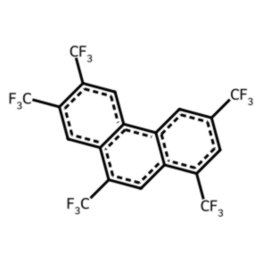 FC(F)(F)c1cc(C(F)(F)F)c2cc(C(F)(F)F)c3cc(C(F)(F)F)c(C(F)(F)F)cc3c2c1